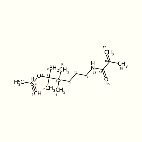 BC(C)(O[SH](#C)C)S(C)(C)CCCNC(=O)C(=C)C